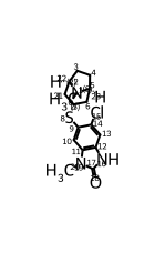 CN1[C@@H]2CC[C@H]1C[C@H](Sc1cc3c(cc1Cl)[nH]c(=O)n3C)C2